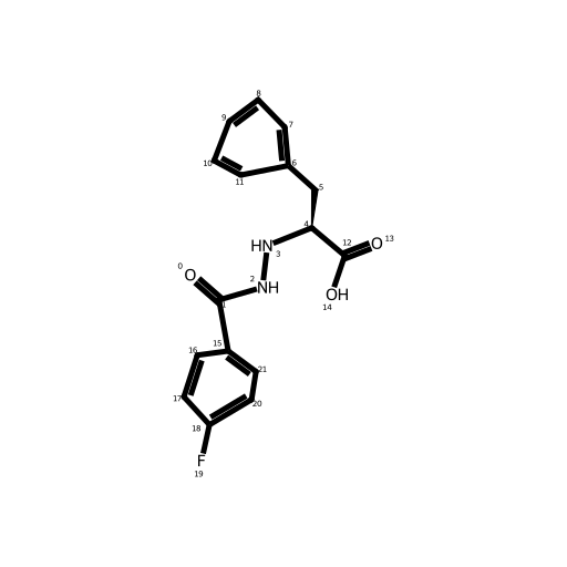 O=C(NN[C@@H](Cc1ccccc1)C(=O)O)c1ccc(F)cc1